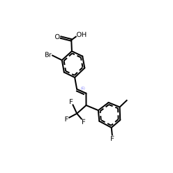 Cc1cc(F)cc(C(/C=C/c2ccc(C(=O)O)c(Br)c2)C(F)(F)F)c1